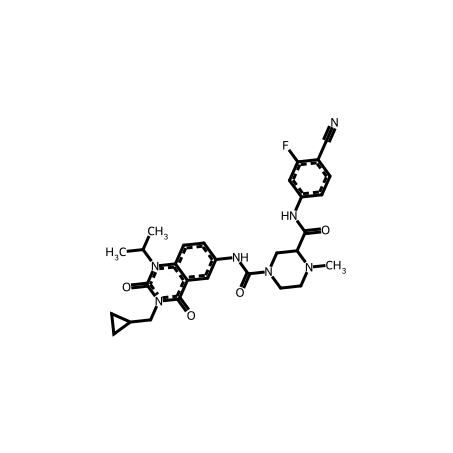 CC(C)n1c(=O)n(CC2CC2)c(=O)c2cc(NC(=O)N3CCN(C)C(C(=O)Nc4ccc(C#N)c(F)c4)C3)ccc21